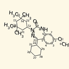 COc1ccc2c(c1)NC(=O)N(C1CC(C)(C)CC(C)(C)C1)N=C2C1CCCCC1